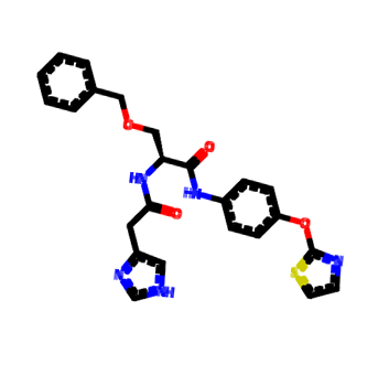 O=C(Cc1c[nH]cn1)N[C@@H](COCc1ccccc1)C(=O)Nc1ccc(Oc2nccs2)cc1